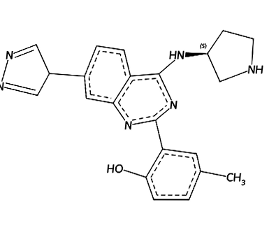 Cc1ccc(O)c(-c2nc(N[C@H]3CCNC3)c3ccc(C4C=NN=C4)cc3n2)c1